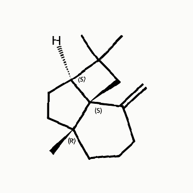 C=C1CCC[C@]2(C)CC[C@H]3C(C)(C)C[C@]132